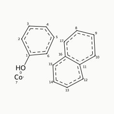 Oc1ccccc1.[Co].c1ccc2ccccc2c1